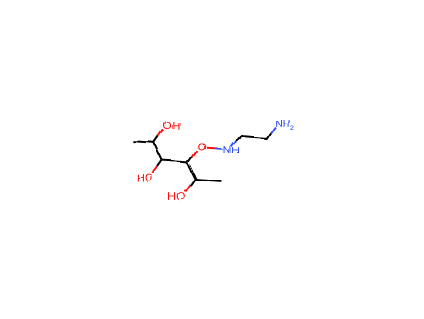 CC(O)C(O)C(ONCCN)C(C)O